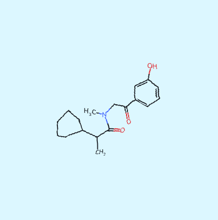 CC(C(=O)N(C)CC(=O)c1cccc(O)c1)C1CCCCC1